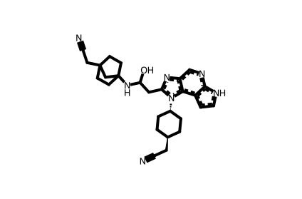 N#CCC12CCC(NC(O)Cc3nc4cnc5[nH]ccc5c4n3[C@H]3CC[C@H](CC#N)CC3)(CC1)C2